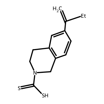 C=C(CC)c1ccc2c(c1)CCN(C(=S)S)C2